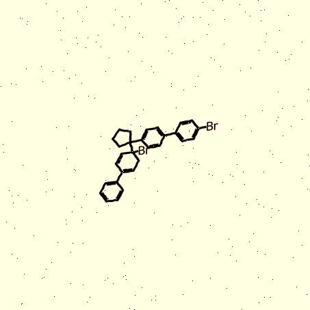 Brc1ccc(-c2ccc(C3(C4(Br)C=CC(c5ccccc5)=CC4)CCCC3)cc2)cc1